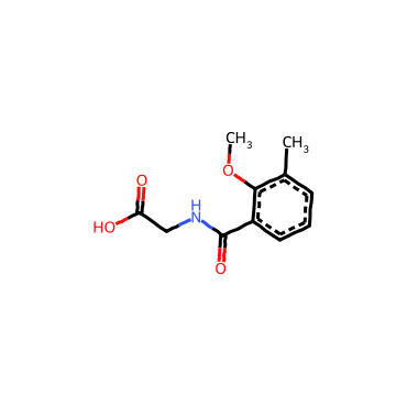 COc1c(C)cccc1C(=O)NCC(=O)O